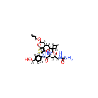 C=CCOC(=O)C[C@@H](CC(=O)C1(C(=O)N[C@@H](CCCNC(N)=O)C(=O)Nc2ccc(CO)cc2)CCC1)c1ccsc1